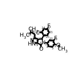 COc1ccc(N2C(=O)c3[nH]nc(CC(C)C)c3C2c2ccc(F)cc2C)cc1F